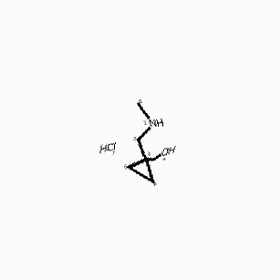 CNCC1(O)CC1.Cl